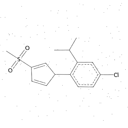 CC(C)c1cc(Cl)ccc1C1C=CC(S(C)(=O)=O)=C1